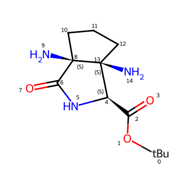 CC(C)(C)OC(=O)[C@H]1NC(=O)[C@]2(N)CCC[C@]12N